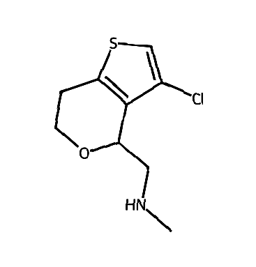 CNCC1OCCc2scc(Cl)c21